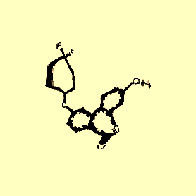 O=c1oc2cc(O)ccc2c2cc(OC3CCC(F)(F)CC3)ccc12